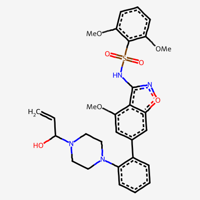 C=CC(O)N1CCN(c2ccccc2-c2cc(OC)c3c(NS(=O)(=O)c4c(OC)cccc4OC)noc3c2)CC1